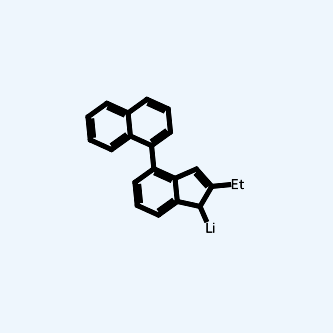 [Li][CH]1C(CC)=Cc2c(-c3cccc4ccccc34)cccc21